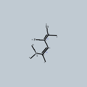 CC/C(C)=C(F)/C=C(/C)N(C)C